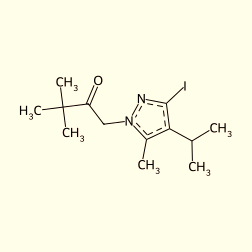 Cc1c(C(C)C)c(I)nn1CC(=O)C(C)(C)C